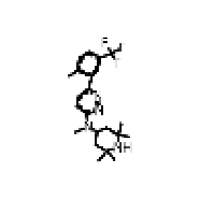 Cc1ccc(C(F)(F)F)cc1-c1ccc(N(C)C2CC(C)(C)NC(C)(C)C2)nn1